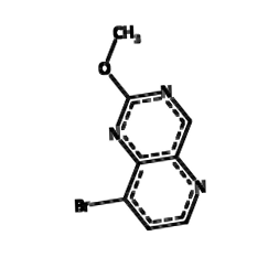 COc1ncc2nccc(Br)c2n1